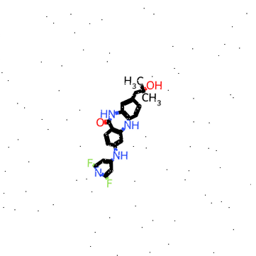 CC(C)(O)Cc1ccc2c(c1)NC(=O)c1ccc(Nc3cc(F)nc(F)c3)cc1N2